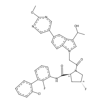 COc1ncc(-c2ccc3c(c2)c(C(C)O)cn3CC(=O)N2C[C@H](F)C[C@H]2C(=O)Nc2cccc(-c3ccccc3Cl)c2F)cn1